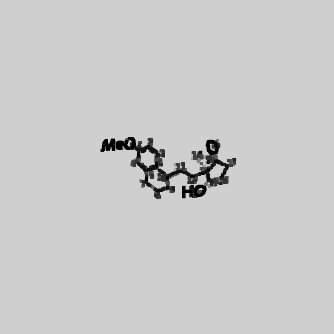 COc1ccc2c(c1)CCCC2=CC[C@@]1(C)C(=O)CC[C@@H]1O